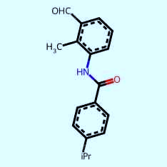 Cc1c(C=O)cccc1NC(=O)c1ccc(C(C)C)cc1